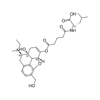 CCN(C)[C@@H]1Cc2ccc(CO)c3c2C2[C@@H](O3)C(OC(=O)CCCC(=O)N[C@@H](CC(C)C)C(=O)O)=CC[C@]21O